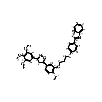 COc1ccc(C2CC(c3cc(OC)c(OC)c(OC)c3)=NO2)cc1OCCCOc1ccc(-c2nc3ccccc3s2)cc1